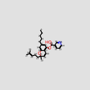 CCCCCc1cc(OC(O)c2cccnc2)c2c(c1)OC(C)(CCC=C(C)C)C=C2